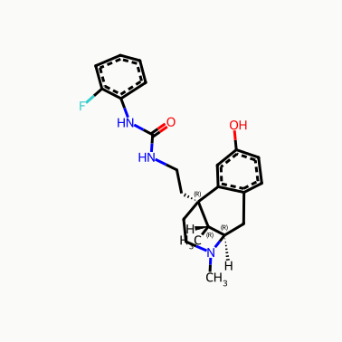 C[C@H]1[C@H]2Cc3ccc(O)cc3[C@]1(CCNC(=O)Nc1ccccc1F)CCN2C